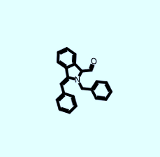 O=CC1c2ccccc2C(=Cc2ccccc2)N1Cc1ccccc1